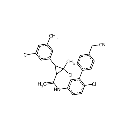 C=C(Nc1ccc(Cl)c(-c2ccc(CC#N)cc2)c1)C1C(c2cc(C)cc(Cl)c2)C1(C)Cl